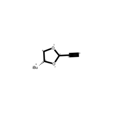 C#CC1OCC([C@@H](C)CC)O1